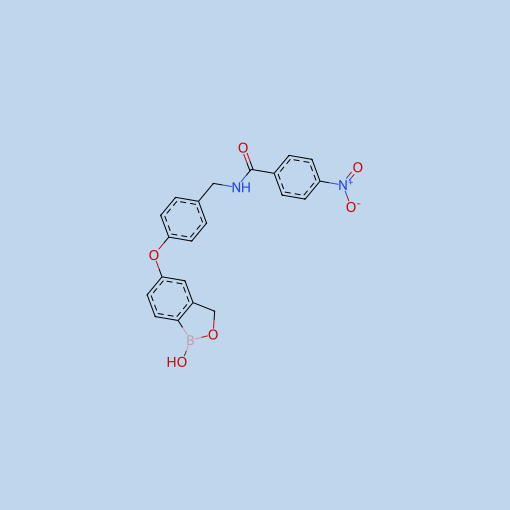 O=C(NCc1ccc(Oc2ccc3c(c2)COB3O)cc1)c1ccc([N+](=O)[O-])cc1